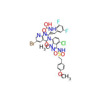 COc1ccc(CCS(=O)(=O)Nc2nn(C)c3c(-n4c([C@H](Cc5cc(F)cc(F)c5)NC(=O)O)nc5ncc(Br)cc5c4=O)ccc(Cl)c23)cc1